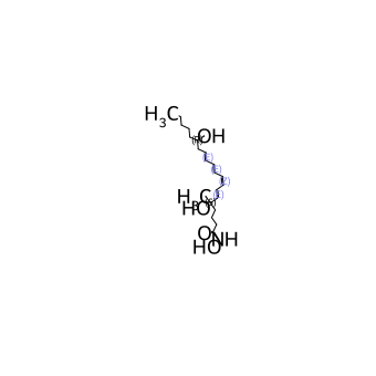 CCCCC[C@@H](O)C/C=C/C=C/C=C\C=C\[C@@](C)(O)CCCC(=O)NO